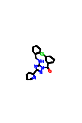 O=C(c1cccc(Cl)c1)n1nc(-c2ccccn2)nc1NCc1ccccc1